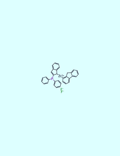 C1=C(P(c2ccccc2)c2ccccc2)[CH]([Zr+2][c]2cccc3c2Cc2ccccc2-3)c2ccccc21.[F-].[F-]